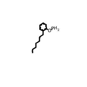 CCCCCCCc1ccccc1OP